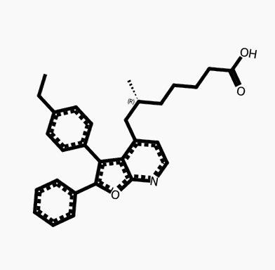 CCc1ccc(-c2c(-c3ccccc3)oc3nccc(C[C@H](C)CCCCC(=O)O)c23)cc1